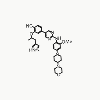 COc1cc(N2CCC(N3CCOCC3)CC2)ccc1Nc1ncc(-c2ccc(C#N)c(OC(C)Cc3cn[nH]c3)c2)cn1